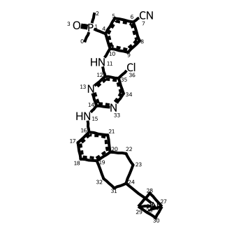 CP(C)(=O)c1cc(C#N)ccc1Nc1nc(Nc2ccc3c(c2)CCC(N2CC4CC2C4)CC3)ncc1Cl